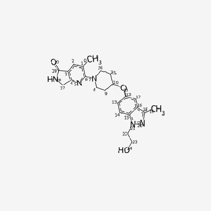 Cc1cc2c(nc1N1CCC(Oc3ccc4c(c3)c(C)nn4CCO)CC1)CNC2=O